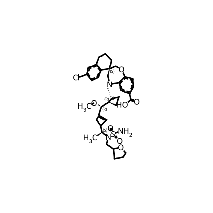 CO[C@@H](C1=CC([C@H](C)N(CC2CCCO2)S(N)(=O)=O)C1)[C@@H]1CC[C@H]1CN1C[C@@]2(CCCc3cc(Cl)ccc32)COc2ccc(C(=O)O)cc21